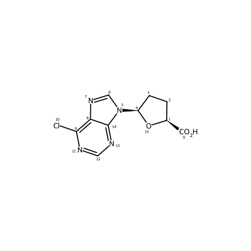 O=C(O)[C@@H]1CC[C@H](n2cnc3c(Cl)ncnc32)O1